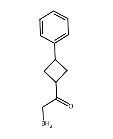 BCC(=O)C1CC(c2ccccc2)C1